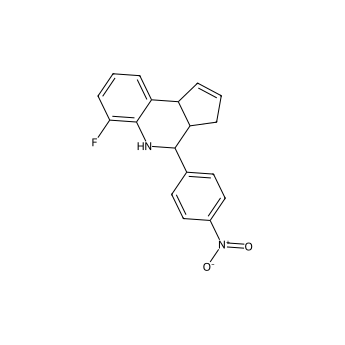 O=[N+]([O-])c1ccc(C2Nc3c(F)cccc3C3C=CCC32)cc1